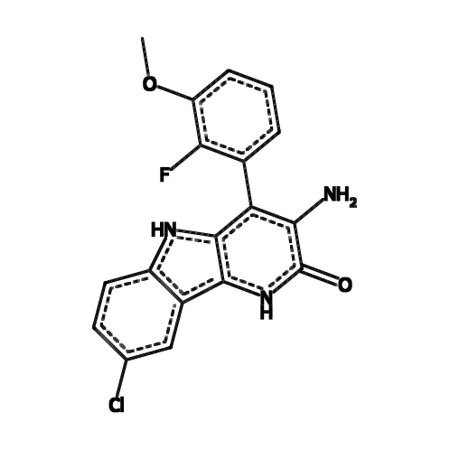 COc1cccc(-c2c(N)c(=O)[nH]c3c2[nH]c2ccc(Cl)cc23)c1F